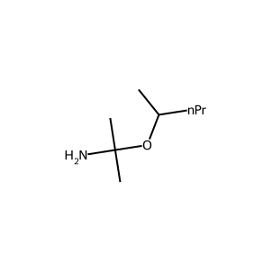 CCCC(C)OC(C)(C)N